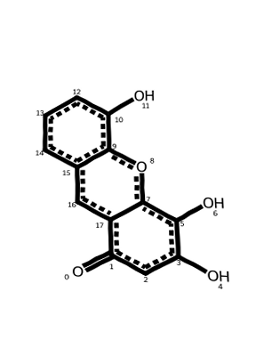 O=c1cc(O)c(O)c2oc3c(O)cccc3cc1-2